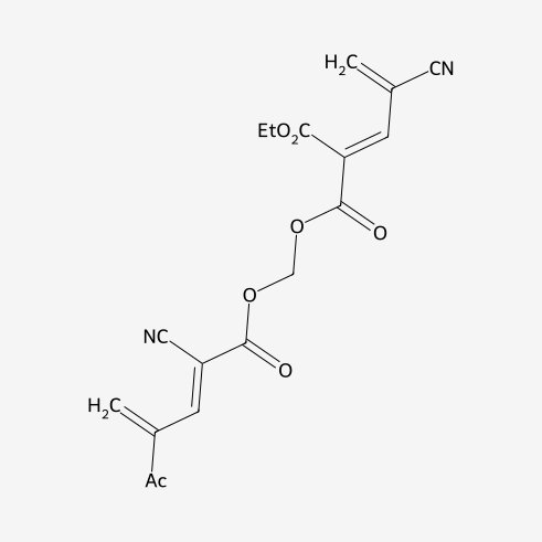 C=C(C#N)/C=C(\C(=O)OCC)C(=O)OCOC(=O)/C(C#N)=C/C(=C)C(C)=O